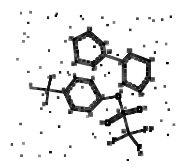 CC(C)(C)c1ccc(OS(=O)(=O)C(F)(F)F)cc1.c1ccc(-c2ccccc2)cc1